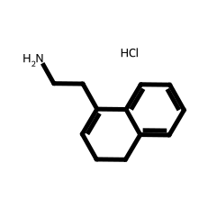 Cl.NCCC1=CCCc2ccccc21